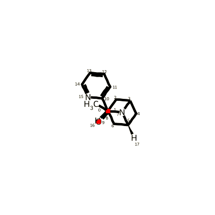 C[C@@H]1CC2C[C@H](C1)N2C(=O)c1ccccn1